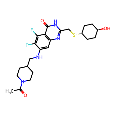 CC(=O)N1CCC(CNc2cc3nc(CS[C@H]4CC[C@H](O)CC4)[nH]c(=O)c3c(F)c2F)CC1